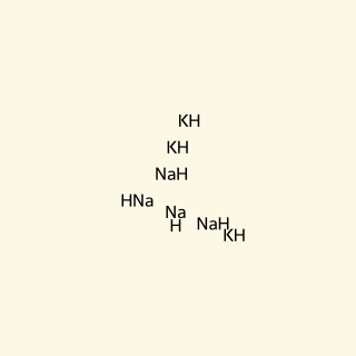 [KH].[KH].[KH].[NaH].[NaH].[NaH].[NaH]